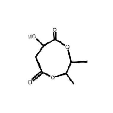 CC1OC(=O)CC(O)C(=O)OC1C